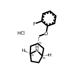 Cl.Fc1ccccc1OC[C@@H]1C[C@H]2CC[C@@H](C1)N2